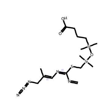 C=N/C(=N\C=C(/C)CN=[N+]=[N-])SC[Si](C)(C)O[Si](C)(C)CCCC(=O)O